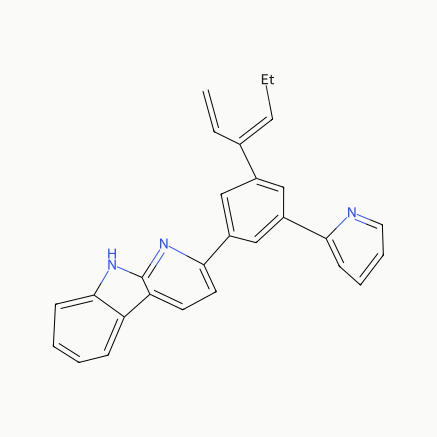 C=C/C(=C\CC)c1cc(-c2ccccn2)cc(-c2ccc3c(n2)[nH]c2ccccc23)c1